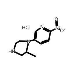 CC1CNCCN1c1ccc([N+](=O)[O-])nc1.Cl